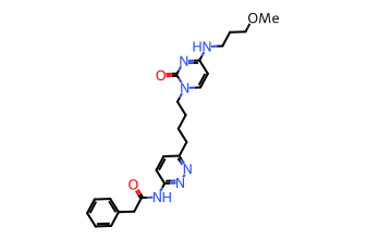 COCCCNc1ccn(CCCCc2ccc(NC(=O)Cc3ccccc3)nn2)c(=O)n1